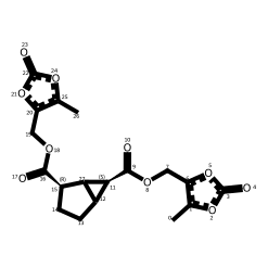 Cc1oc(=O)oc1COC(=O)[C@H]1C2CC[C@@H](C(=O)OCc3oc(=O)oc3C)C21